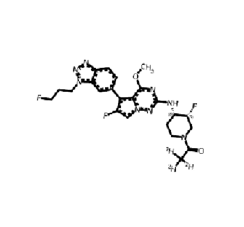 [2H]C([2H])([2H])C(=O)N1CC[C@H](Nc2nc(OC)c3c(-c4ccc5nnn(CCCF)c5c4)c(F)cn3n2)[C@H](F)C1